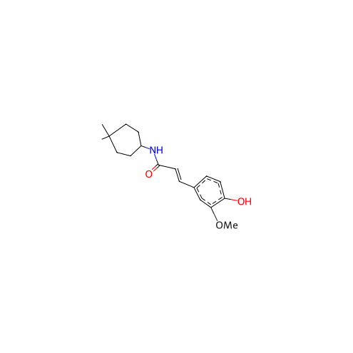 COc1cc(C=CC(=O)NC2CCC(C)(C)CC2)ccc1O